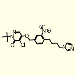 CC(C)(C)n1ncc(OCc2ccc(CCCCn3ccnc3)c([N+](=O)[O-])c2)c(Cl)c1=O